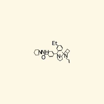 C=CCN1C2CCC2C1(C)C1CCCN1C(C1=CCC(C(=O)NN2CCCCC2)C=C1)c1cccc(CC)c1